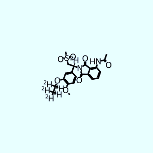 [2H]C([2H])([2H])C([2H])([2H])Oc1cc([C@@]([2H])(CS(C)(=O)=O)N2C(=O)c3cccc(NC(C)=O)c3C2=O)ccc1OC